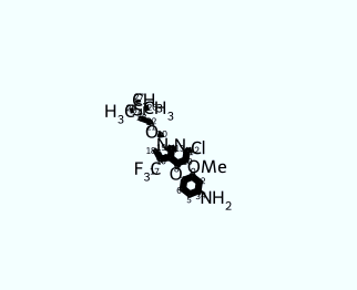 COc1cc(N)ccc1Oc1cc(Cl)nc2c1c(C(F)(F)F)cn2COCC[Si](C)(C)C